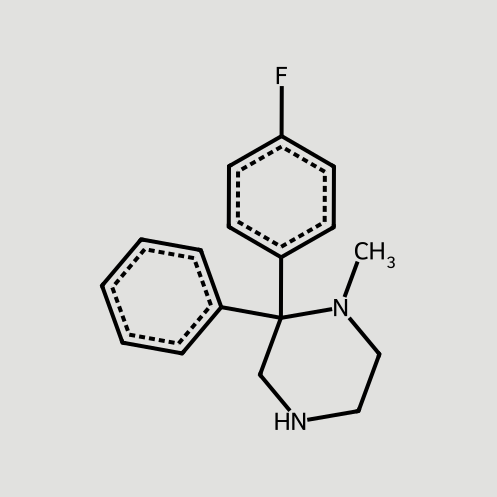 CN1CCNCC1(c1ccccc1)c1ccc(F)cc1